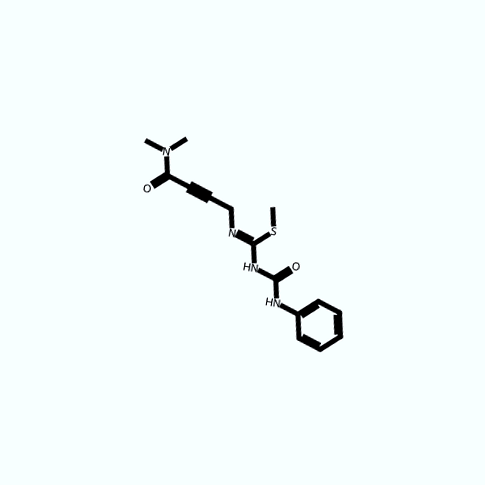 CSC(=NCC#CC(=O)N(C)C)NC(=O)Nc1ccccc1